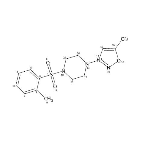 Cc1ccccc1S(=O)(=O)N1CCN([n+]2cc([O-])on2)CC1